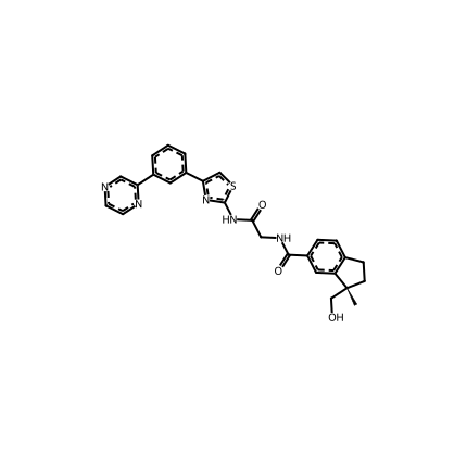 C[C@]1(CO)CCc2ccc(C(=O)NCC(=O)Nc3nc(-c4cccc(-c5cnccn5)c4)cs3)cc21